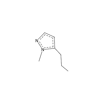 CCCc1ccnn1C